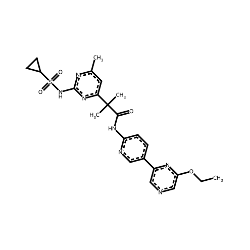 CCOc1cncc(-c2ccc(NC(=O)C(C)(C)c3cc(C)nc(NS(=O)(=O)C4CC4)n3)nc2)n1